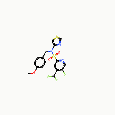 COc1ccc(CN(c2cscn2)S(=O)(=O)c2cc(C(F)F)c(F)cn2)cc1